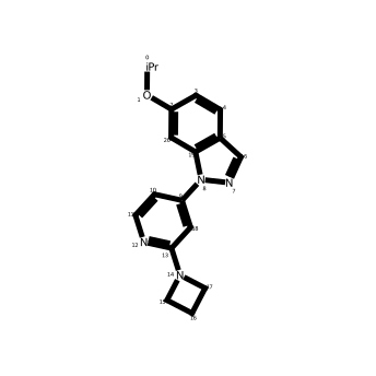 CC(C)Oc1ccc2cnn(-c3ccnc(N4CCC4)c3)c2c1